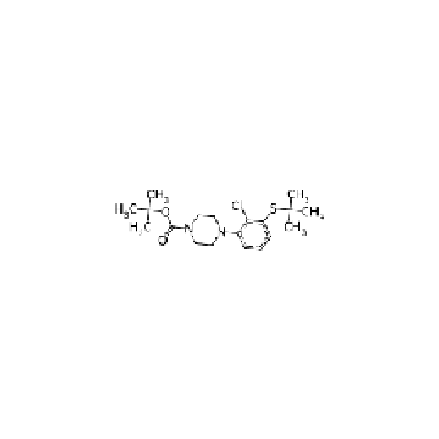 CC(C)(C)OC(=O)N1CCN(c2cccc(SC(C)(C)C)c2Cl)CC1